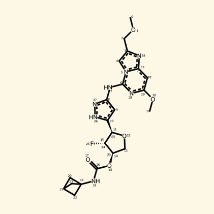 COCc1cn2c(Nc3cc([C@H]4OC[C@@H](OC(=O)NC56CC(C5)C6)[C@@H]4F)[nH]n3)nc(OC)cc2n1